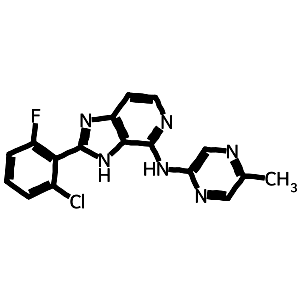 Cc1cnc(Nc2nccc3nc(-c4c(F)cccc4Cl)[nH]c23)cn1